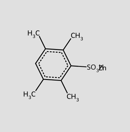 Cc1cc(C)c(C)c(S(=O)(=O)O)c1C.[Zn]